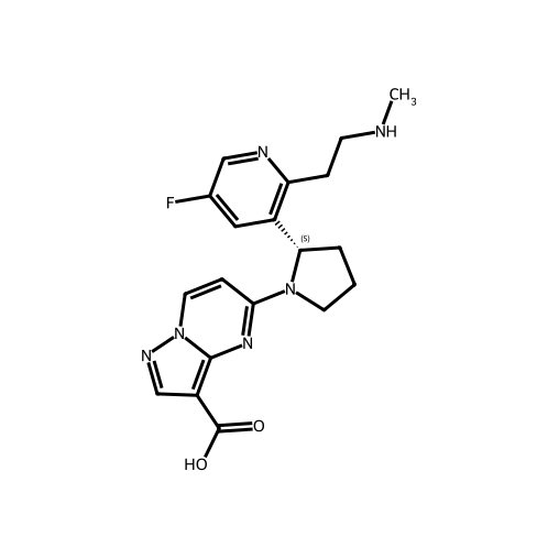 CNCCc1ncc(F)cc1[C@@H]1CCCN1c1ccn2ncc(C(=O)O)c2n1